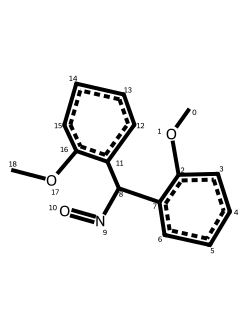 COc1ccccc1C(N=O)c1ccccc1OC